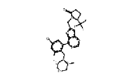 Cc1cc(Cl)cc(-c2ncnc3cc(CN4C(=O)CC[C@H]4C(F)(F)F)sc23)c1CN1[C@@H](C)CNC[C@@H]1C